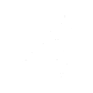 CC(=O)CC(OCCCCO)OCCCCO